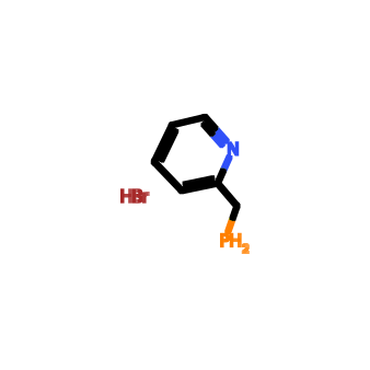 Br.PCc1ccccn1